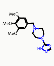 COc1cc(CN2CCN(c3ncn[nH]3)CC2)cc(OC)c1OC